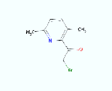 Cc1ccc(C)c(C(=O)CBr)n1